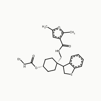 CCNC(=O)O[C@H]1CC[C@](CNC(=O)c2cc(C)oc2C)(C2CSc3ccccc32)CC1